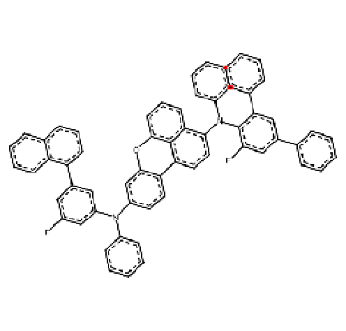 Fc1cc(-c2cccc3ccccc23)cc(N(c2ccccc2)c2ccc3c(c2)Oc2cccc4c(N(c5ccccc5)c5c(F)cc(-c6ccccc6)cc5-c5ccccc5)ccc-3c24)c1